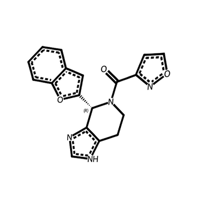 O=C(c1ccon1)N1CCc2[nH]cnc2[C@@H]1c1cc2ccccc2o1